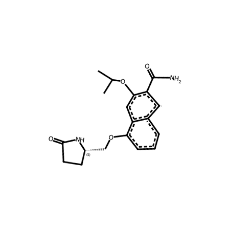 CC(C)Oc1cc2c(OC[C@@H]3CCC(=O)N3)cccc2[c]c1C(N)=O